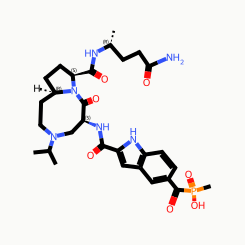 CC(C)N1CC[C@H]2CC[C@@H](C(=O)N[C@H](C)CCC(N)=O)N2C(=O)[C@@H](NC(=O)c2cc3cc(C(=O)P(C)(=O)O)ccc3[nH]2)C1